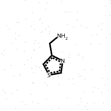 NCc1cscn1